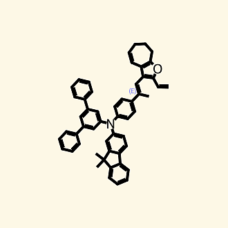 C=Cc1oc2c(c1/C=C(\C)c1ccc(N(c3cc(-c4ccccc4)cc(-c4ccccc4)c3)c3ccc4c(c3)C(C)(C)c3ccccc3-4)cc1)C=CCCC2